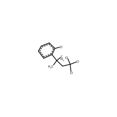 CC(C)(CC(Cl)(Cl)Cl)c1ccccc1Cl